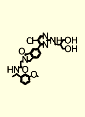 COc1cccc(C(C)NC(=O)CN2Cc3ccc(-c4nc(NCC(CO)CO)ncc4Cl)cc3C2=O)c1